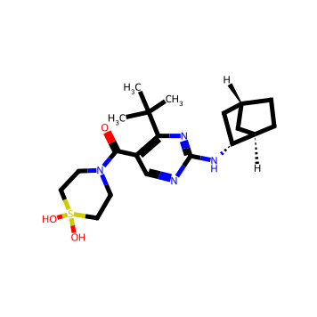 CC(C)(C)c1nc(N[C@@H]2C[C@@H]3CC[C@@H]2C3)ncc1C(=O)N1CCS(O)(O)CC1